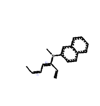 C=C/C(=C\C=C/C)N(C)c1ccc2ccccc2c1